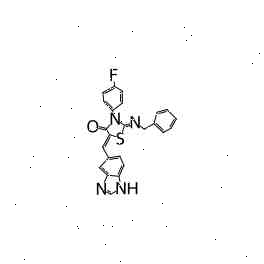 O=C1C(=Cc2ccc3[nH]cnc3c2)SC(=NCc2ccccc2)N1c1ccc(F)cc1